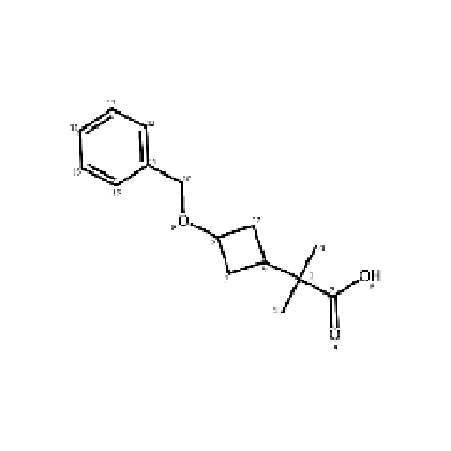 CC(C)(C(=O)O)C1CC(OCc2ccccc2)C1